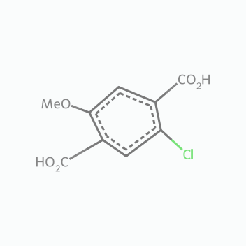 COc1cc(C(=O)O)c(Cl)cc1C(=O)O